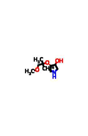 COCC(C)(C)O[C@H]1CNCC1O